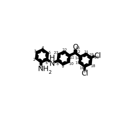 Nc1ccccc1Nc1ccc(C(=O)c2cc(Cl)cc(Cl)c2)cc1